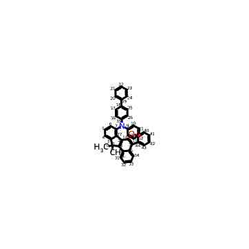 CC1(C)c2cccc(N(c3ccccc3)c3ccc(-c4ccccc4)cc3)c2-c2c1c1ccccc1c1c2oc2ccccc21